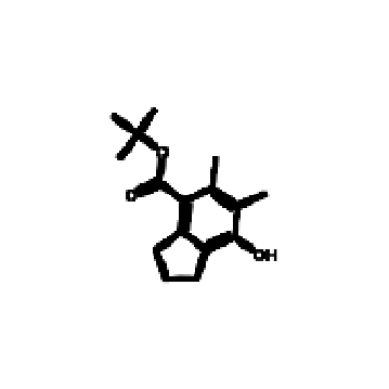 Cc1c(C)c(C(=O)OC(C)(C)C)c2c(c1O)CCC2